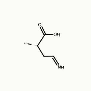 C[C@@H](CC=N)C(=O)O